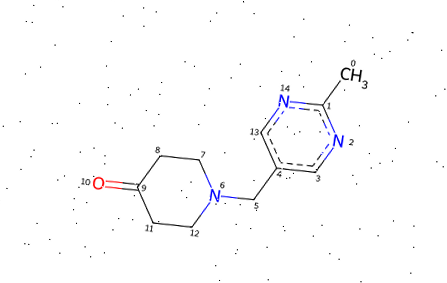 Cc1ncc(CN2CCC(=O)CC2)cn1